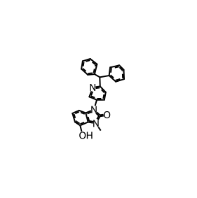 Cn1c(=O)n(-c2ccc(C(c3ccccc3)c3ccccc3)nc2)c2cccc(O)c21